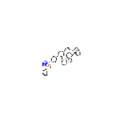 c1ccc(-c2nnc(-c3ccc(-c4cccc5c4-c4ccccc4[C@]54c5ccccc5C5(c6ccccc6)c6ccccc6-c6cccc4c65)cc3)s2)cc1